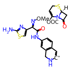 CO/N=C(\C(=O)Nc1ccc2c(c1)CN[C+]=C2)c1csc(N)n1.O=C([O-])C1=CCS[C@H]2CC(=O)N12